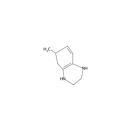 CC1C=CC2=C(C1)NCCN2